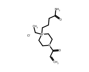 C=CC(=O)N1CC[N+](CC)(CCCC(N)=O)CC1.[Cl-]